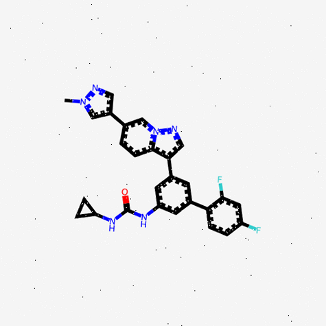 Cn1cc(-c2ccc3c(-c4cc(NC(=O)NC5CC5)cc(-c5ccc(F)cc5F)c4)cnn3c2)cn1